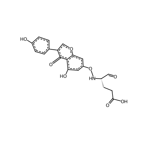 O=C[C@H](CCC(=O)O)NOc1cc(O)c2c(=O)c(-c3ccc(O)cc3)coc2c1